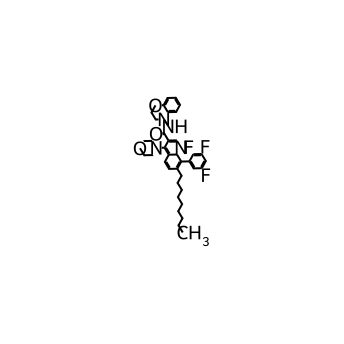 CCCCCCCCCc1ccc2c(N3CCOCC3)c(C(=O)NN3CCOc4ccccc43)cnc2c1-c1cc(F)cc(F)c1F